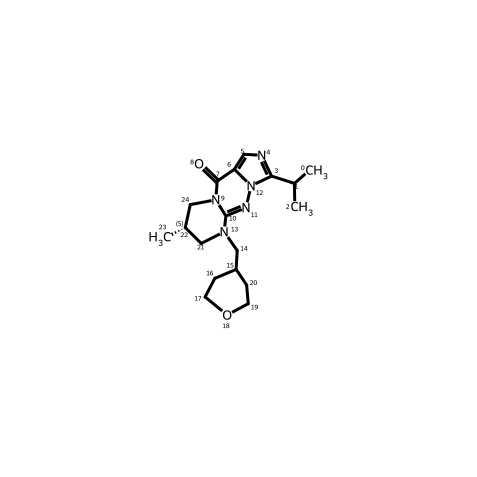 CC(C)c1ncc2c(=O)n3c(nn12)N(CC1CCOCC1)C[C@H](C)C3